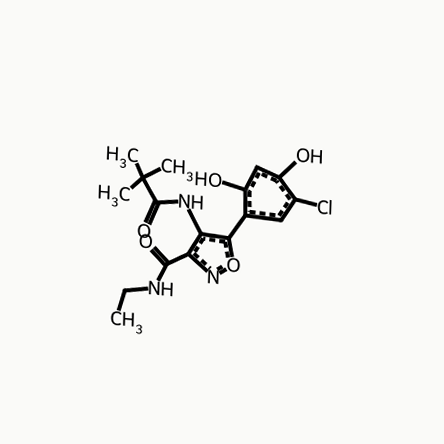 CCNC(=O)c1noc(-c2cc(Cl)c(O)cc2O)c1NC(=O)C(C)(C)C